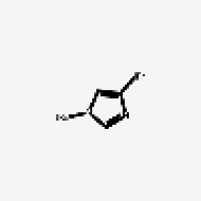 CC(C)c1cn(C(C)(C)C)cn1